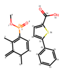 C=C1C(C)=C([PH](=O)OC)C=CC1C.O=C(O)c1ccc(-c2ccccc2)s1